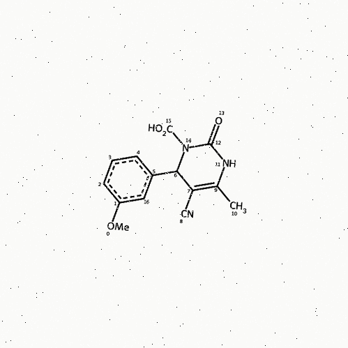 COc1cccc(C2C(C#N)=C(C)NC(=O)N2C(=O)O)c1